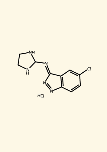 Cl.Clc1ccc2c(c1)C(=NC1NCCN1)N=N2